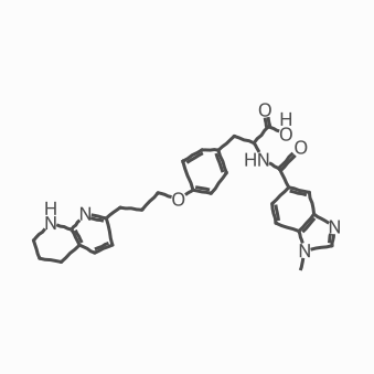 Cn1cnc2cc(C(=O)NC(Cc3ccc(OCCCc4ccc5c(n4)NCCC5)cc3)C(=O)O)ccc21